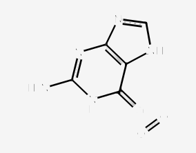 Nc1nc2nc[nH]c2c(=O)[nH]1.O=O